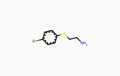 NCCSc1ccc(Br)cc1